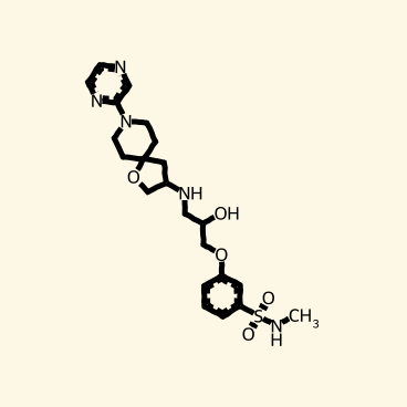 CNS(=O)(=O)c1cccc(OCC(O)CNC2COC3(CCN(c4cnccn4)CC3)C2)c1